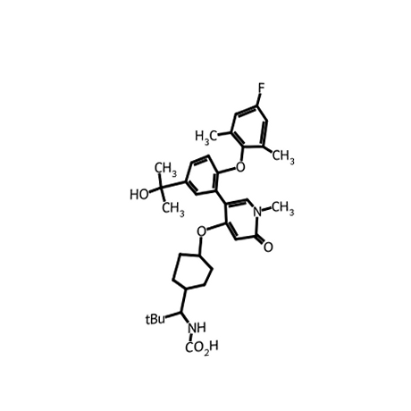 Cc1cc(F)cc(C)c1Oc1ccc(C(C)(C)O)cc1-c1cn(C)c(=O)cc1OC1CCC(C(NC(=O)O)C(C)(C)C)CC1